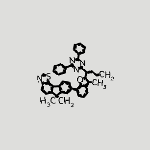 C=C/C=C(/c1nc(-c2ccccc2)nc(-c2ccccc2)n1)c1oc2c(-c3ccc4c(c3)C(C)(C)c3ccc5ncsc5c3-4)cccc2c1C